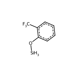 FC(F)(F)c1ccccc1O[SiH3]